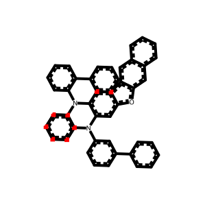 c1ccc(-c2cccc(N(c3ccccc3)c3cc4oc5cc6ccccc6cc5c4cc3N(c3ccccc3)c3ccccc3-c3ccccc3)c2)cc1